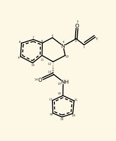 C=CC(=O)N1Cc2ccccc2[C@@H](C(=O)Nc2ccccc2)C1